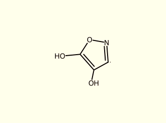 Oc1[c]noc1O